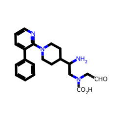 NC(CN(CC=O)C(=O)O)C1CCN(c2ncccc2-c2ccccc2)CC1